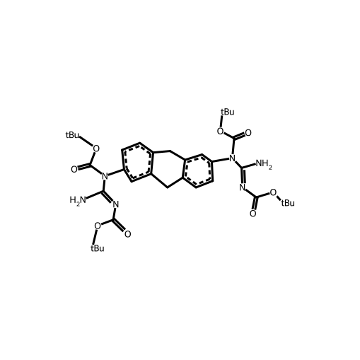 CC(C)(C)OC(=O)N=C(N)N(C(=O)OC(C)(C)C)c1ccc2c(c1)Cc1ccc(N(C(=O)OC(C)(C)C)C(N)=NC(=O)OC(C)(C)C)cc1C2